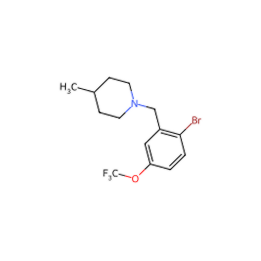 CC1CCN(Cc2cc(OC(F)(F)F)ccc2Br)CC1